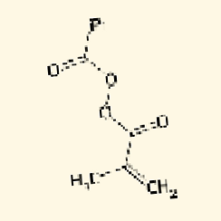 C=C(C)C(=O)OOC(=O)C(C)C